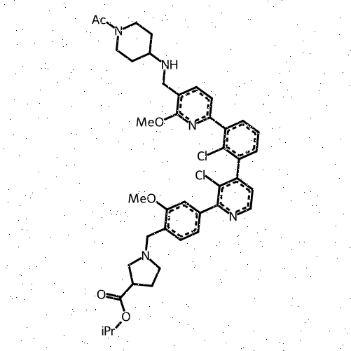 COc1cc(-c2nccc(-c3cccc(-c4ccc(CNC5CCN(C(C)=O)CC5)c(OC)n4)c3Cl)c2Cl)ccc1CN1CCC(C(=O)OC(C)C)C1